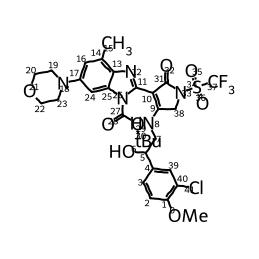 COc1ccc(C(O)CNC2=C(c3nc4c(C)cc(N5CCOCC5)cc4n3C(=O)OC(C)(C)C)C(=O)N(S(=O)(=O)C(F)(F)F)C2)cc1Cl